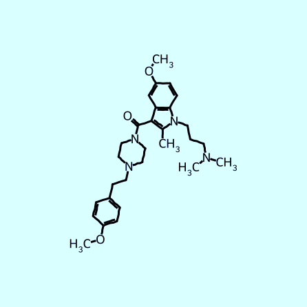 COc1ccc(CCN2CCN(C(=O)c3c(C)n(CCCN(C)C)c4ccc(OC)cc34)CC2)cc1